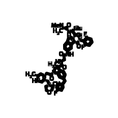 CNC(C)C(=O)NC(C(=O)N1Cc2ccc(NC(=O)CNC(=O)[C@]3(C)CN(C(=O)CN4C[C@@H](C)NC[C@@H]4CN4CCOC[C@H]4C)c4cc(Cc5ccc(F)cc5)ccc43)cc2[C@H]1C(=O)Nc1c(F)cccc1F)C(C)(C)C